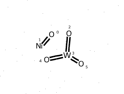 [O]=[Ni].[O]=[W](=[O])=[O]